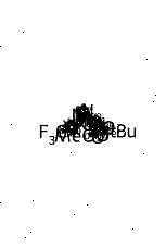 COC(=O)[C@H]1CN(c2nccnc2Nc2ccc(C(F)(F)F)cc2)CCN1C(=O)OC(C)(C)C